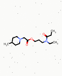 CCC(=O)N(CC)CCCOC(=O)CN1CCC(C)CC1